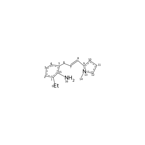 CCc1cccc(CC=Cc2cccn2C)c1N